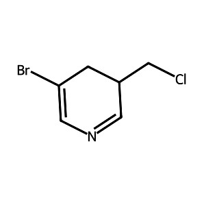 ClCC1C=NC=C(Br)C1